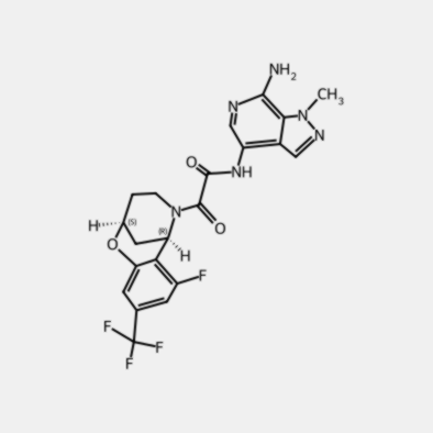 Cn1ncc2c(NC(=O)C(=O)N3CC[C@H]4C[C@@H]3c3c(F)cc(C(F)(F)F)cc3O4)cnc(N)c21